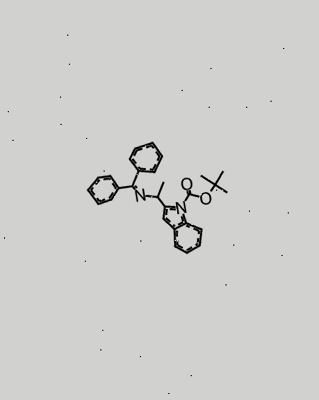 CC(N=C(c1ccccc1)c1ccccc1)c1cc2ccccc2n1C(=O)OC(C)(C)C